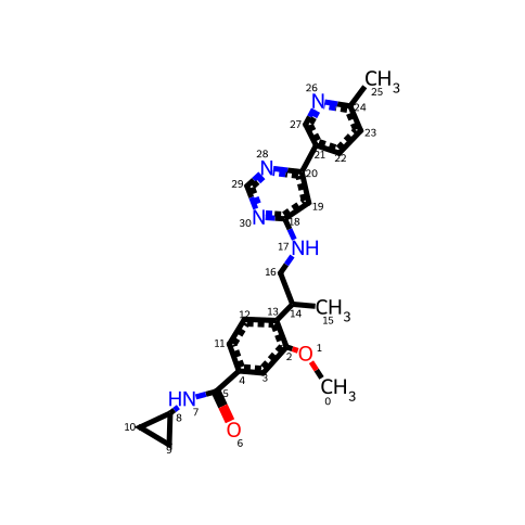 COc1cc(C(=O)NC2CC2)ccc1C(C)CNc1cc(-c2ccc(C)nc2)ncn1